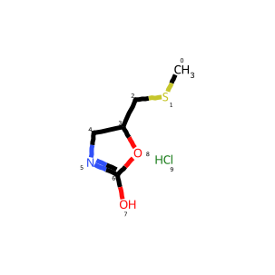 CSCC1CN=C(O)O1.Cl